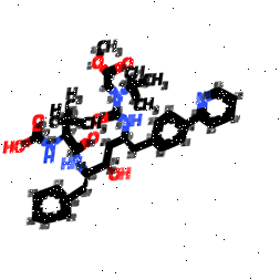 COC(=O)CN(C(=O)N[C@@H](Cc1ccc(-c2ccccn2)cc1)C[C@H](O)[C@H](Cc1ccccc1)NC(=O)[C@@H](NC(=O)O)C(C)(C)C)C(C)(C)C